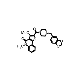 COc1c(C(=O)N2CCN(Cc3ccc4c(c3)OCO4)CC2)sc2c1c(=O)n(C)c1ccccc21